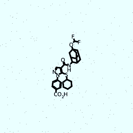 O=C(O)c1ccc(-n2ncc(C(=O)NC3C4CC5CC3CC(OC(F)F)(C5)C4)c2SC2CCCCC2)cc1